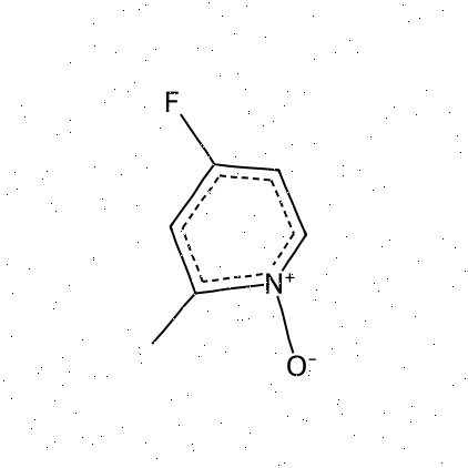 Cc1cc(F)cc[n+]1[O-]